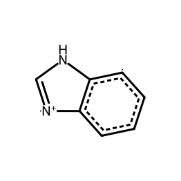 [c]1cccc2c1NC=[N+]2